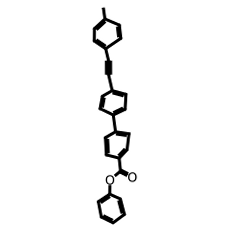 Cc1ccc(C#Cc2ccc(-c3ccc(C(=O)Oc4ccccc4)cc3)cc2)cc1